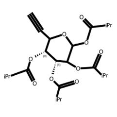 C#CC1OC(OC(=O)C(C)C)C(OC(=O)C(C)C)[C@H](OC(=O)C(C)C)[C@@H]1OC(=O)C(C)C